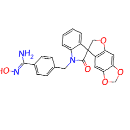 N/C(=N\O)c1ccc(CN2C(=O)C3(COc4cc5c(cc43)OCO5)c3ccccc32)cc1